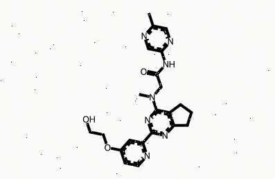 Cc1cnc(NC(=O)CN(C)c2nc(-c3cc(OCCO)ccn3)nc3c2CCC3)cn1